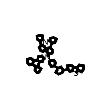 c1cc(-c2ccc(N(c3ccc(-c4ccccc4-n4c5ccccc5c5ccccc54)cc3)c3ccc4c5ccccc5c5ccccc5c4c3)cc2)cc(-c2ccc3c(c2)oc2ccccc23)c1